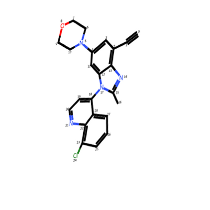 C#Cc1cc(N2CCOCC2)cc2c1nc(C)n2-c1ccnc2c(Cl)cccc12